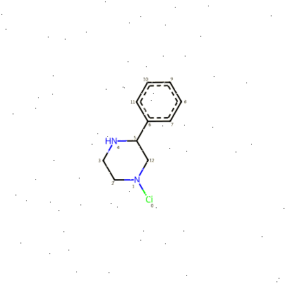 ClN1CCNC(c2ccccc2)C1